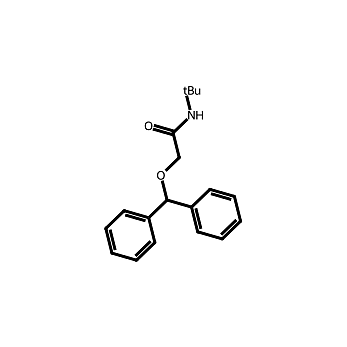 CC(C)(C)NC(=O)COC(c1ccccc1)c1ccccc1